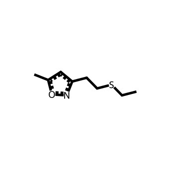 CCSCCc1cc(C)on1